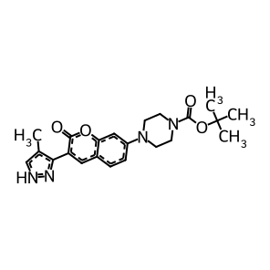 Cc1c[nH]nc1-c1cc2ccc(N3CCN(C(=O)OC(C)(C)C)CC3)cc2oc1=O